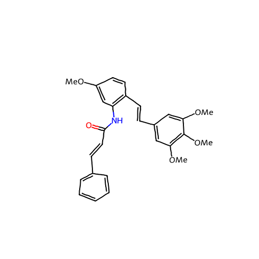 COc1ccc(/C=C/c2cc(OC)c(OC)c(OC)c2)c(NC(=O)/C=C/c2ccccc2)c1